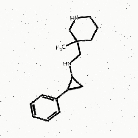 CC1(CNC2CC2c2ccccc2)CCCNC1